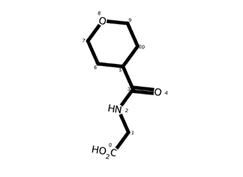 O=C(O)CNC(=O)C1CCOCC1